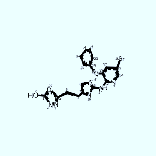 Oc1nnc(CCc2csc(Nc3ncc(Br)cc3Oc3ccccc3)n2)o1